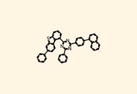 c1ccc(-c2ccc3c(c2)sc2cccc(-c4nc(-c5ccccc5)nc(-c5ccc(-c6cccc7ccccc67)cc5)n4)c23)cc1